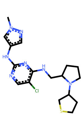 Cn1cc(Nc2ncc(Cl)c(NCC3CCCN3C3CCSC3)n2)cn1